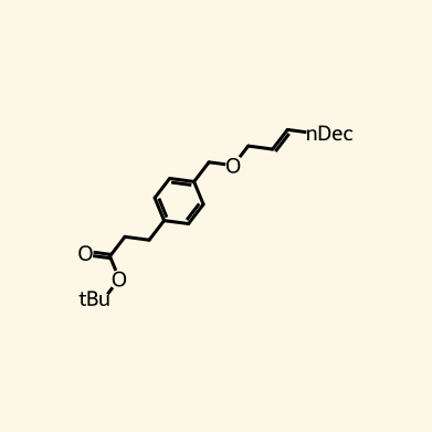 CCCCCCCCCCC=CCOCc1ccc(CCC(=O)OC(C)(C)C)cc1